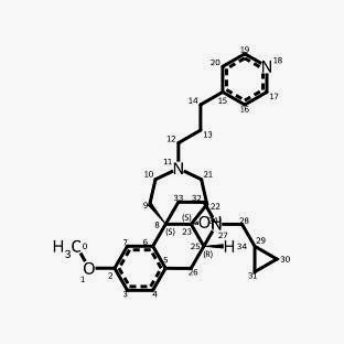 COc1ccc2c(c1)[C@@]13CCN(CCCc4ccncc4)CC[C@@]1(O)[C@@H](C2)N(CC1CC1)CC3